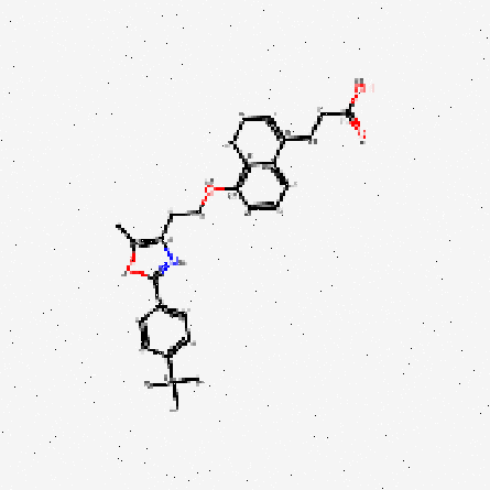 Cc1oc(-c2ccc(C(C)(C)C)cc2)nc1CCOc1cccc2c1CCC=C2CCC(=O)O